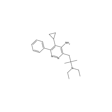 CCN(CC)C(C)(C)Cc1nnc(-c2ccccc2)c(C2CC2)c1N